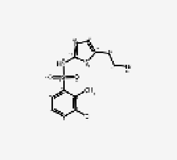 Cc1c(Cl)cccc1S(=O)(=O)Nc1ncc(CCBr)s1